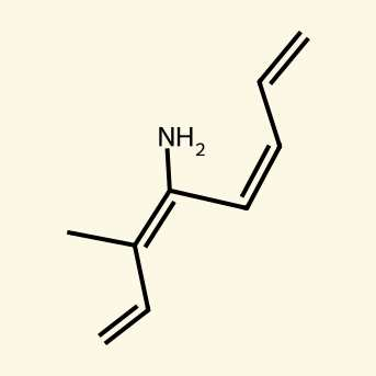 C=C/C=C\C(N)=C(\C)C=C